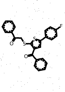 O=C(CSc1sc(-c2ccc(F)cc2)cc1C(=O)c1ccccc1)c1ccccc1